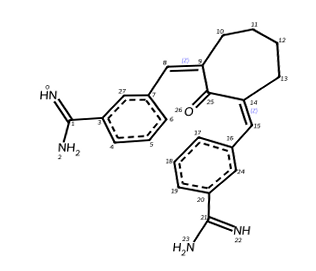 N=C(N)c1cccc(/C=C2/CCCC/C(=C/c3cccc(C(=N)N)c3)C2=O)c1